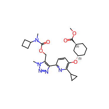 COC(=O)[C@H]1CCC[C@H](Oc2ccc(-c3nnn(C)c3COC(=O)N(C)C3CCC3)nc2C2CC2)C1